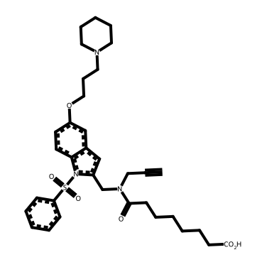 C#CCN(Cc1cc2cc(OCCCN3CCCCC3)ccc2n1S(=O)(=O)c1ccccc1)C(=O)CCCCCCC(=O)O